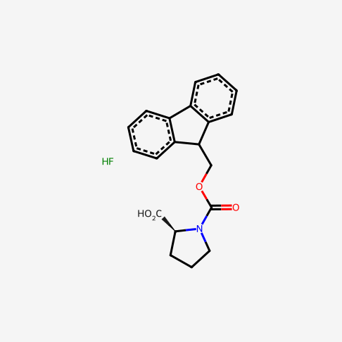 F.O=C(O)[C@@H]1CCCN1C(=O)OCC1c2ccccc2-c2ccccc21